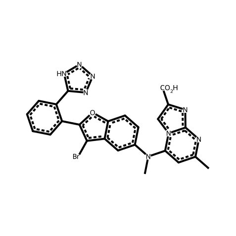 Cc1cc(N(C)c2ccc3oc(-c4ccccc4-c4nnn[nH]4)c(Br)c3c2)n2cc(C(=O)O)nc2n1